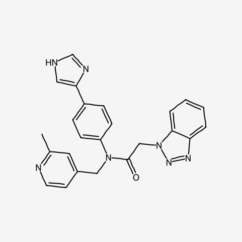 Cc1cc(CN(C(=O)Cn2nnc3ccccc32)c2ccc(-c3c[nH]cn3)cc2)ccn1